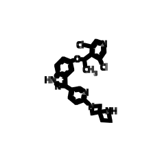 CC(Oc1ccc2[nH]nc(-c3ccc(N4CC5(CCN5)C4)nc3)c2c1)c1c(Cl)cncc1Cl